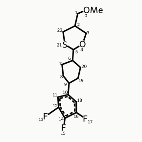 COCC1COC(C2CCC(c3cc(F)c(F)c(F)c3)CC2)SC1